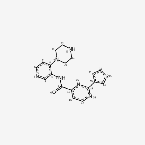 O=C(Nc1cnccc1N1CCNCC1)c1ccnc(-c2ccsc2)n1